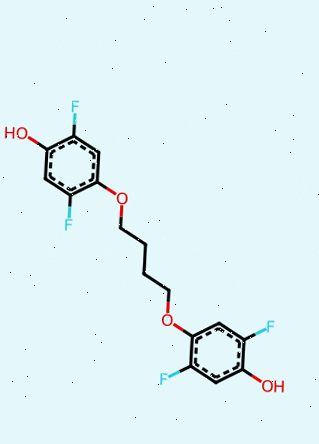 Oc1cc(F)c(OCCCCOc2cc(F)c(O)cc2F)cc1F